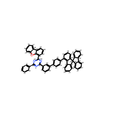 c1ccc(-c2nc(-c3cccc(-c4ccc(-c5cccc6c5-c5ccccc5C65c6ccccc6-c6ccccc65)cc4)c3)nc(-c3cccc4c3oc3ccccc34)n2)cc1